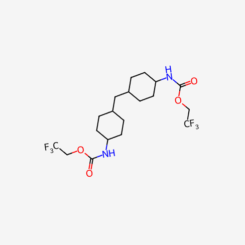 O=C(NC1CCC(CC2CCC(NC(=O)OCC(F)(F)F)CC2)CC1)OCC(F)(F)F